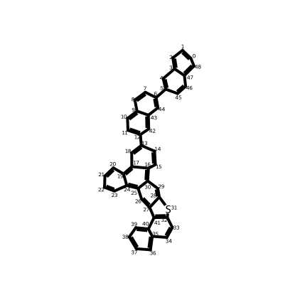 c1ccc2cc(-c3ccc4ccc(-c5ccc6c(c5)c5ccccc5c5cc7c(cc65)sc5ccc6ccccc6c57)cc4c3)ccc2c1